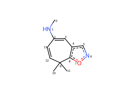 CNC1=Cc2cnoc2C(C)(C)C=C1